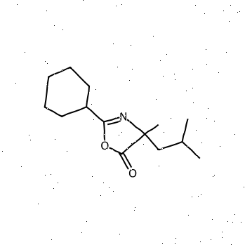 CC(C)CC1(C)N=C(C2CCCCC2)OC1=O